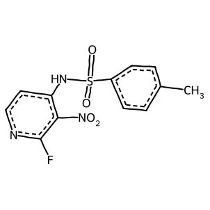 Cc1ccc(S(=O)(=O)Nc2ccnc(F)c2[N+](=O)[O-])cc1